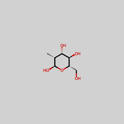 C[C@@H]1[C@H](O)[C@@H](O)[C@H](CO)O[C@H]1O